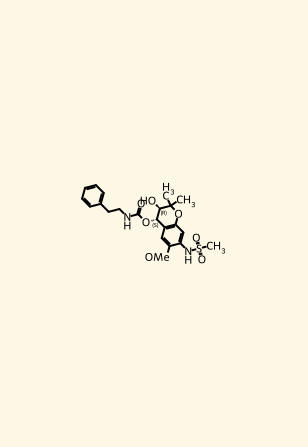 COc1cc2c(cc1NS(C)(=O)=O)OC(C)(C)[C@H](O)[C@H]2OC(=O)NCCc1ccccc1